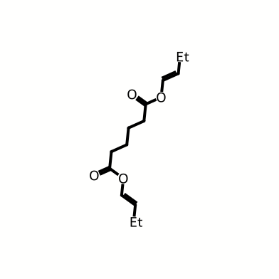 CCC=COC(=O)CCCCC(=O)OC=CCC